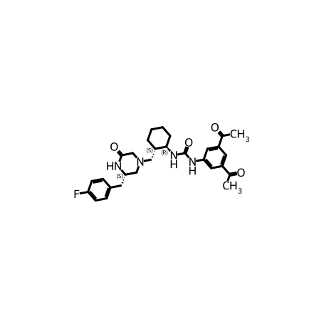 CC(=O)c1cc(NC(=O)N[C@@H]2CCCC[C@H]2CN2CC(=O)N[C@@H](Cc3ccc(F)cc3)C2)cc(C(C)=O)c1